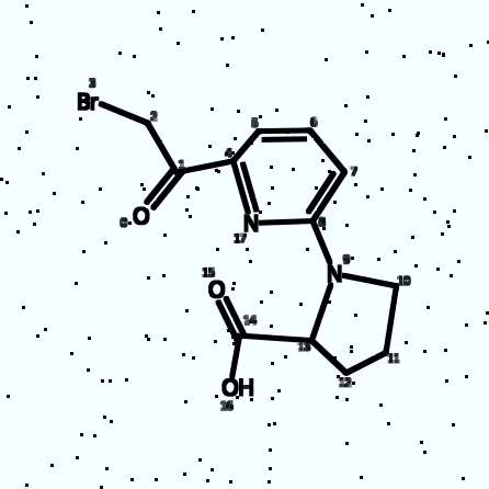 O=C(CBr)c1cccc(N2CCCC2C(=O)O)n1